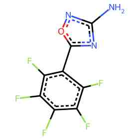 Nc1noc(-c2c(F)c(F)c(F)c(F)c2F)n1